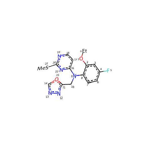 CCOc1cc(F)ccc1N(Cc1nnco1)c1ccnc(SC)n1